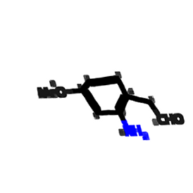 COc1ccc(CC=O)c(N)c1